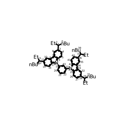 CCCCC(CC)c1ccc2c(c1)c1cc(C(CC)CCCC)ccc1n2-c1cccc(-n2c3ccc(C(CC)CCCC)cc3c3cc(C(CC)CCCC)ccc32)c1